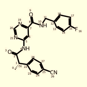 C[C@H](C(=O)Nc1cc(C(=O)NCc2ccc(F)cc2)ncn1)c1ccc(C#N)cc1